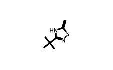 C=C1NC(C(C)(C)C)=NS1